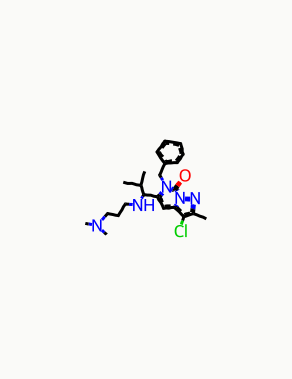 Cc1nn2c(=O)n(Cc3ccccc3)c(C(NCCCN(C)C)C(C)C)cc2c1Cl